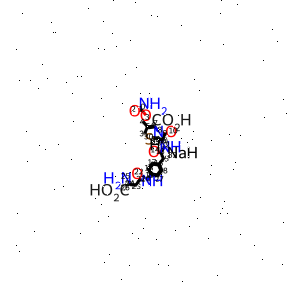 NC(=O)OCC1=C(C(=O)O)N2C(=O)[C@@H](NC(=O)Cc3ccc(NC(=O)C[C@@H](N)C(=O)O)cc3)[C@H]2SC1.[NaH]